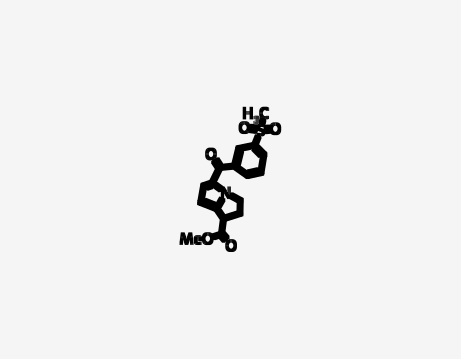 COC(=O)C1CCn2c(C(=O)c3cccc(S(C)(=O)=O)c3)ccc21